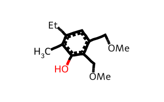 CCc1cc(COC)c(COC)c(O)c1C